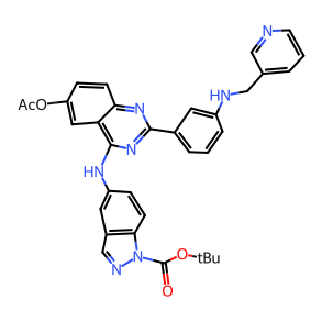 CC(=O)Oc1ccc2nc(-c3cccc(NCc4cccnc4)c3)nc(Nc3ccc4c(cnn4C(=O)OC(C)(C)C)c3)c2c1